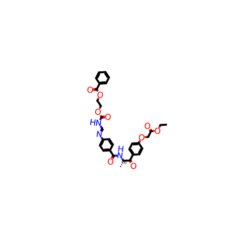 CCOC(=O)COc1ccc(C(=O)[C@H](C)NC(=O)c2ccc(N=CNC(=O)OCCOC(=O)c3ccccc3)cc2)cc1